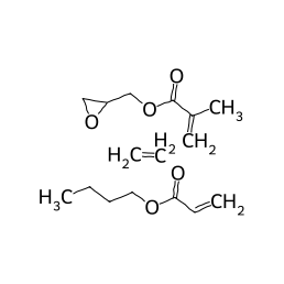 C=C.C=C(C)C(=O)OCC1CO1.C=CC(=O)OCCCC